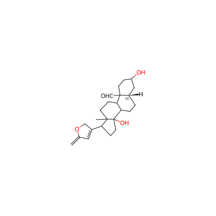 C=C1C=C(C2CCC3(O)C4CC[C@H]5CC(O)CCC5(C=O)C4CCC23C)CO1